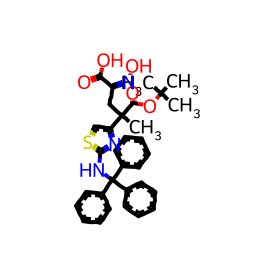 CC(C)(C)OC(=O)C(C)(CC(=NO)C(=O)O)c1csc(NC(c2ccccc2)(c2ccccc2)c2ccccc2)n1